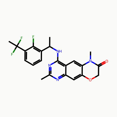 Cc1nc(NC(C)c2cccc(C(C)(F)F)c2F)c2cc3c(cc2n1)OCC(=O)N3C